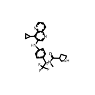 CN(C(=O)C1CCNC1)[C@@H](c1ccc(Nc2cnc3cccnc3c2C2CC2)cc1)C(F)(F)F